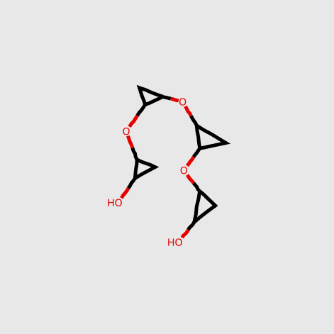 OC1CC1OC1CC1OC1CC1OC1CC1O